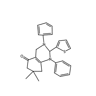 CC1(C)CC(=O)C2=C(C1)N(c1ccccc1)C(c1cccs1)N(c1ccccc1)C2